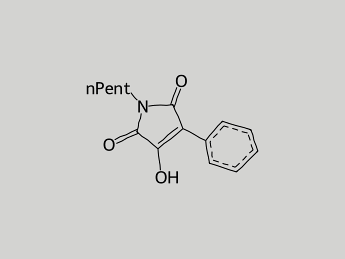 CCCCCN1C(=O)C(O)=C(c2ccccc2)C1=O